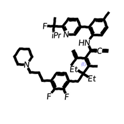 C=C=C(Nc1ccc(C)cc1-c1ccc(C(C)(F)C(C)C)nc1)/C(C(=C)C)=C(\C)C(CC)(CC)Cc1ccc(CCCN2CCCCC2)c(F)c1F